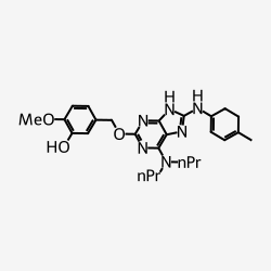 CCCN(CCC)c1nc(OCc2ccc(OC)c(O)c2)nc2[nH]c(NC3=CC=C(C)CC3)nc12